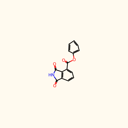 O=C1NC(=O)c2c1cccc2C(=O)Oc1ccccc1